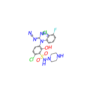 N#CN=C(N)N(c1ccc(Cl)c(S(=O)(=O)NN2CCNCC2)c1O)c1cccc(F)c1Cl